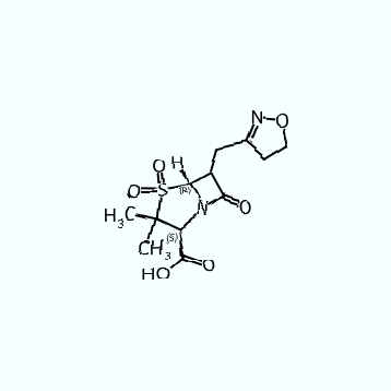 CC1(C)[C@H](C(=O)O)N2C(=O)C(CC3=NOCC3)[C@H]2S1(=O)=O